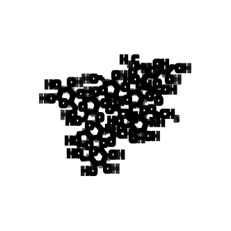 CC(=O)N[C@H]1[C@H](O[C@@H]2[C@H](O[C@]3(C(=O)O)C[C@H](O)[C@@H](NC(C)=O)[C@H]([C@H](O)[C@H](O)CO)O3)[C@@H](O)[C@H](O[C@H]3[C@H](O)[C@@H](CO)O[C@@H](O[C@@H]4[C@@H](O)[C@H](O[C@H]5[C@H](O)[C@@H](O)[C@H](O)O[C@@H]5CO)O[C@H](CO)[C@@H]4O[C@@H]4O[C@H](CO)[C@H](O)[C@H](O[C@@H]5O[C@H](CO)[C@H](O)[C@H](O)[C@H]5O)[C@H]4NC(C)=O)[C@@H]3NC(C)=O)O[C@@H]2CO)O[C@H](CO)[C@H](O)[C@@H]1O